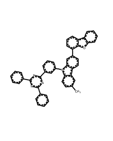 Cc1ccc2c(c1)c1ccc(-c3cccc4c3oc3ccccc34)cc1n2-c1cccc(-c2nc(-c3ccccc3)nc(-c3ccccc3)n2)c1